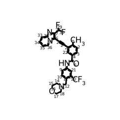 Cc1ccc(C(=O)Nc2ccc(CN3CCOCC3)c(C(F)(F)F)c2)cc1C#Cc1c(C(F)F)nc2ccccn12